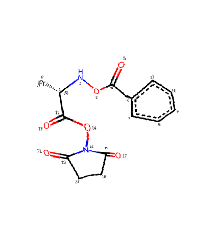 CC(C)[C@H](NOC(=O)c1ccccc1)C(=O)ON1C(=O)CCC1=O